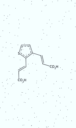 O=C(O)C=Cc1ccsc1C=CC(=O)O